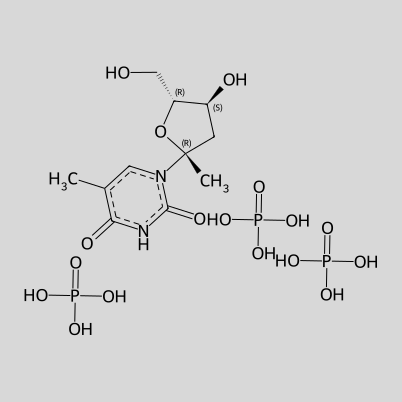 Cc1cn([C@@]2(C)C[C@H](O)[C@@H](CO)O2)c(=O)[nH]c1=O.O=P(O)(O)O.O=P(O)(O)O.O=P(O)(O)O